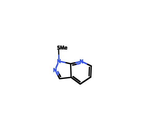 CSn1ncc2cccnc21